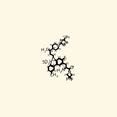 Cc1ccc(S(=O)(=O)O)c(-c2cc(CC(N)C(=O)N3CC(F)(F)C3)c(F)cc2OCCC(C)C2CCN(c3nc(C(C)C)no3)CC2)c1